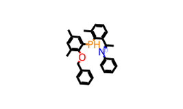 C/C(=N\c1ccccc1)c1cccc(C)c1Pc1cc(C)cc(C)c1OCc1ccccc1